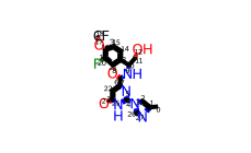 Cc1cn(-c2nc(C(=O)NC(CO)c3ccc(OC(F)(F)F)c(F)c3)cc(=O)[nH]2)cn1